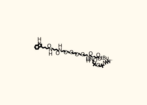 CC(C)(CN=[N+]=[N-])COCC(C)(C)CC(=O)N[C@H](CCC(=O)OC(C)(C)C)C(=O)NCCOCCOCCOCCOCCNC(=O)CCCNC(=O)CCCc1c[nH]c2ccccc12